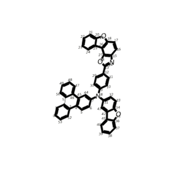 c1ccc(-c2ccc(N(c3ccc(-c4nc5ccc6oc7ccccc7c6c5o4)cc3)c3ccc4oc5ccccc5c4c3)cc2-c2ccccc2)cc1